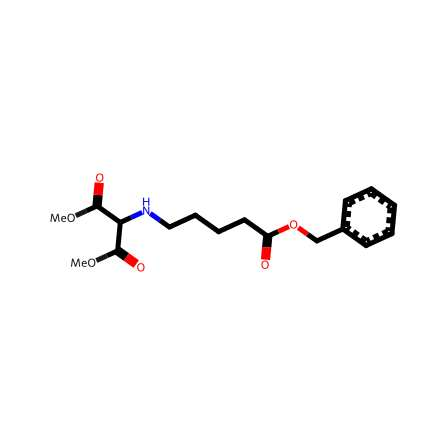 COC(=O)C(NCCCCC(=O)OCc1ccccc1)C(=O)OC